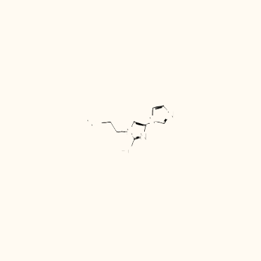 CCc1nc(-n2ccnc2)cn1CCC#N